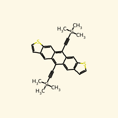 C[Si](C)(C)C#Cc1c2cc3ccsc3cc2c(C#C[Si](C)(C)C)c2cc3sccc3cc12